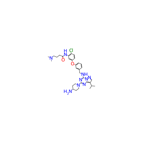 CC(C)c1cnn2c(NCc3cccc(Oc4ccc(Cl)c(NC(=O)CCCN(C)C)c4)c3)nc(N3CCC(N)CC3)nc12